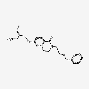 NC/C(=C/F)COc1ccc2c(c1)CCN(CCOCc1ccccc1)C2=O